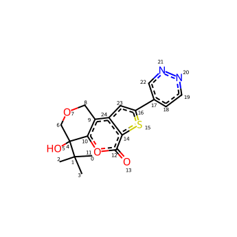 CC(C)(C)C1(O)COCc2c1oc(=O)c1sc(-c3ccnnc3)cc21